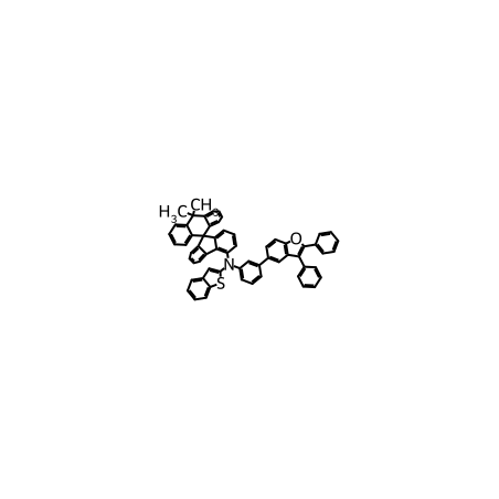 CC1(C)c2ccccc2C2(c3ccccc3-c3c(N(c4cccc(-c5ccc6oc(-c7ccccc7)c(-c7ccccc7)c6c5)c4)c4cc5ccccc5s4)cccc32)c2ccccc21